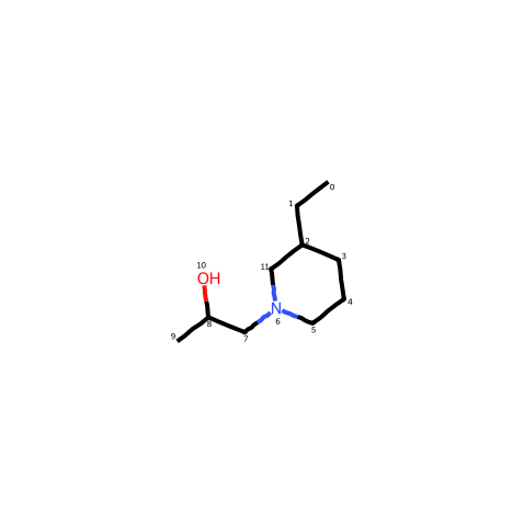 CCC1CCCN(CC(C)O)C1